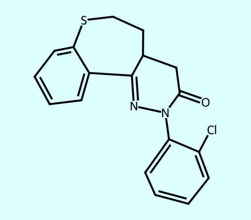 O=C1CC2CCSc3ccccc3C2=NN1c1ccccc1Cl